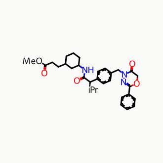 COC(=O)CCC1CCCC(NC(=O)C(c2ccc(CN3N=C(c4ccccc4)OCC3=O)cc2)C(C)C)C1